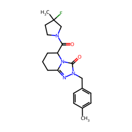 Cc1ccc(Cn2nc3n(c2=O)C(C(=O)N2CCC(C)(F)C2)CCC3)cc1